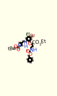 CCOC(=O)[C@@H](CCNC(=O)OCc1ccccc1)Oc1cc(Br)c(Cl)cc1NCC1CN(C(=O)OC(C)(C)C)C1